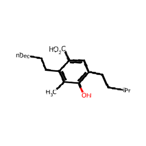 CCCCCCCCCCCCc1c(C(=O)O)cc(CCC(C)C)c(O)c1C